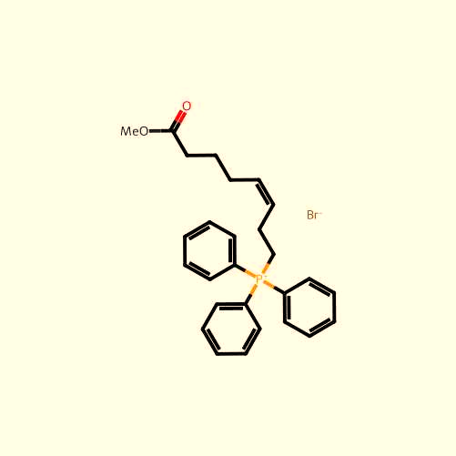 COC(=O)CCC/C=C\CC[P+](c1ccccc1)(c1ccccc1)c1ccccc1.[Br-]